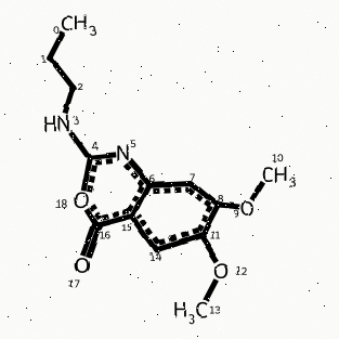 CCCNc1nc2cc(OC)c(OC)cc2c(=O)o1